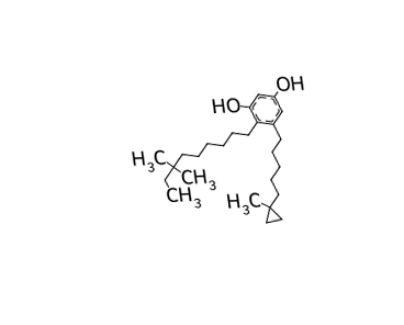 CCC(C)(C)CCCCCCc1c(O)cc(O)cc1CCCCCC1(C)CC1